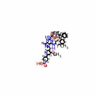 CCC[C@@H](CCO[Si](c1ccccc1)(c1ccccc1)C(C)(C)C)Nc1nc(NC(=O)OC)nc2c(I)nn(Cc3cnc(C4=CCN(C(=O)O)CC4)cc3OC)c12